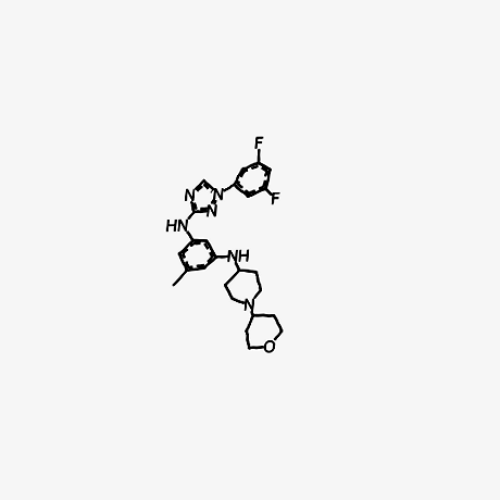 Cc1cc(Nc2ncn(-c3cc(F)cc(F)c3)n2)cc(NC2CCN(C3CCOCC3)CC2)c1